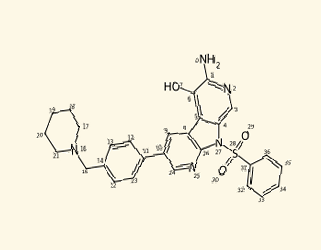 Nc1ncc2c(c1O)c1cc(-c3ccc(CN4CCCCC4)cc3)cnc1n2S(=O)(=O)c1ccccc1